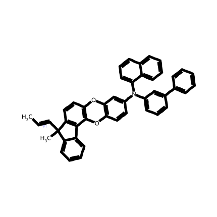 C/C=C/C1(C)c2ccccc2-c2c1ccc1c2Oc2ccc(N(c3cccc(-c4ccccc4)c3)c3cccc4ccccc34)cc2O1